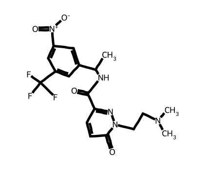 CC(NC(=O)c1ccc(=O)n(CCN(C)C)n1)c1cc([N+](=O)[O-])cc(C(F)(F)F)c1